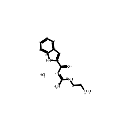 Cl.NC(=NC(=O)c1cc2ccccc2[nH]1)NCCC(=O)O